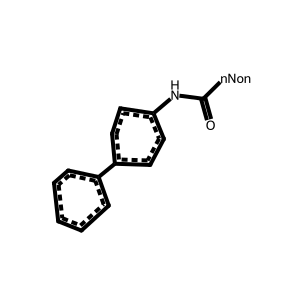 CCCCCCCCCC(=O)Nc1ccc(-c2ccccc2)cc1